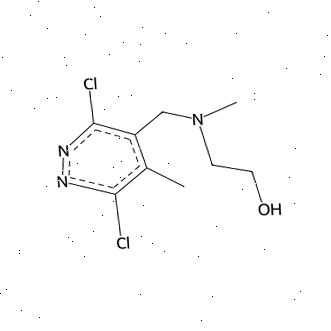 Cc1c(Cl)nnc(Cl)c1CN(C)CCO